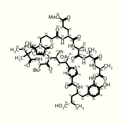 CC[C@H](C)[C@H](NC(=O)C(C)(C)N(C)C)C(=O)N(C)[C@H](C[C@@H](OC(C)=O)c1nc(C(=O)N[C@@H](Cc2ccc(O)c(NC(=O)[C@H](C)NC(=O)[C@H](C)NC(=O)[C@H](C)NC(=O)[C@H](CCC(=O)OC)NC(=O)CCCN3C(=O)C=CC3=O)c2)C[C@H](C)C(=O)O)cs1)C(C)C